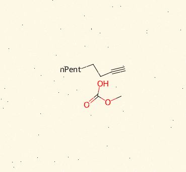 C#CCCCCCCC.COC(=O)O